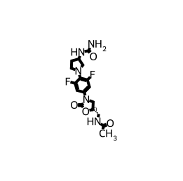 CC(=O)NC[C@H]1CN(c2cc(F)c(N3CCC(NC(N)=O)C3)c(F)c2)C(=O)O1